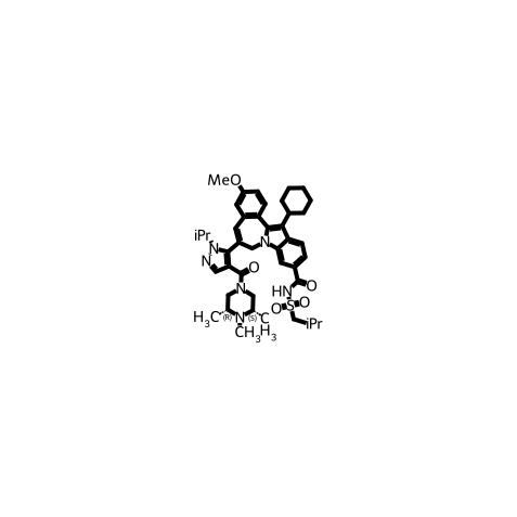 COc1ccc2c(c1)C=C(c1c(C(=O)N3C[C@@H](C)N(C)[C@@H](C)C3)cnn1C(C)C)Cn1c-2c(C2CCCCC2)c2ccc(C(=O)NS(=O)(=O)CC(C)C)cc21